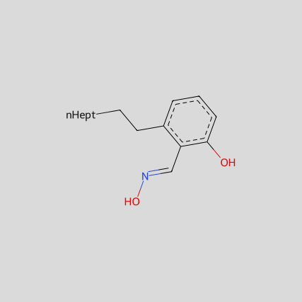 CCCCCCCCCc1cccc(O)c1C=NO